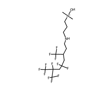 C[N+](C)(O)CCCNCCC(CC(F)(F)CC(F)(C(F)(F)F)C(F)(F)F)C(F)(F)F